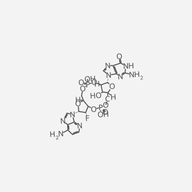 Nc1nc2c(ncn2[C@@H]2O[C@@H]3COP(=O)(O)OC4[C@@H](COP(=O)(O)O[C@H]2C3O)O[C@@H](n2cnc3c(N)ccnc32)[C@H]4F)c(=O)[nH]1